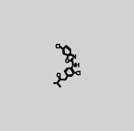 CC(C)C(=O)Cc1ccc(Nc2nc3ccc(Cl)cc3o2)c(Cl)c1